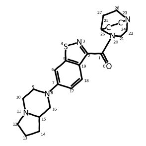 O=C(c1nsc2cc(N3CCN4CCCC4C3)ccc12)N1CCN2CCC1CC2